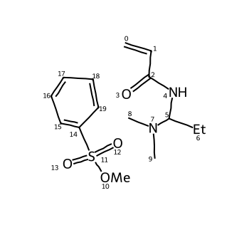 C=CC(=O)NC(CC)N(C)C.COS(=O)(=O)c1ccccc1